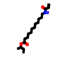 C=CC(=O)NCCCCCCCCCCCC(=O)OC(C)CC